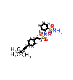 CC(C)(C)C#Cc1ccc(C=CS(=O)(=O)Nc2ccccc2S(N)(=O)=O)cc1